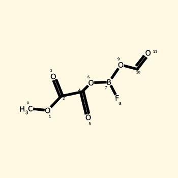 COC(=O)C(=O)OB(F)OC=O